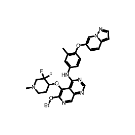 CCOc1ncc2ncnc(Nc3ccc(Oc4ccc5ccnn5c4)c(C)c3)c2c1O[C@H]1CCN(C)CC1(F)F